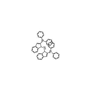 C1=C(P(c2ccccc2)c2ccccc2)[CH]([Ti][CH]2C(P(c3ccccc3)c3ccccc3)=Cc3ccccc32)c2ccccc21